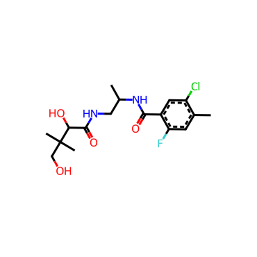 Cc1cc(F)c(C(=O)NC(C)CNC(=O)C(O)C(C)(C)CO)cc1Cl